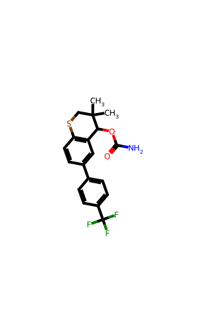 CC1(C)CSc2ccc(-c3ccc(C(F)(F)F)cc3)cc2C1OC(N)=O